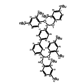 CCCCc1ccc(OP(Oc2ccc(CCCC)cc2CCCC)c2ccc(-c3cccc(P(Oc4ccc(CCCC)cc4CCCC)Oc4ccc(CCCC)cc4CCCC)c3)cc2)c(CCCC)c1